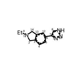 CCN1Cc2ccc(-c3c[nH]nn3)cc2C1